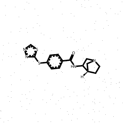 O=C(NC1CN2CC[C@H]1C2)c1ccc(Sc2nncs2)cc1